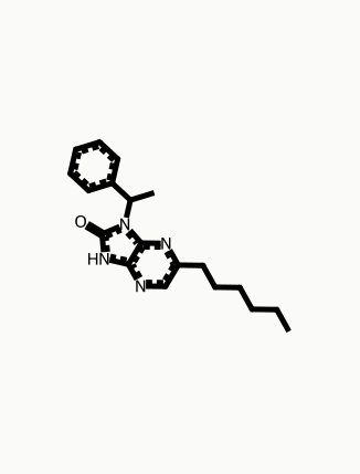 CCCCCCc1cnc2[nH]c(=O)n(C(C)c3ccccc3)c2n1